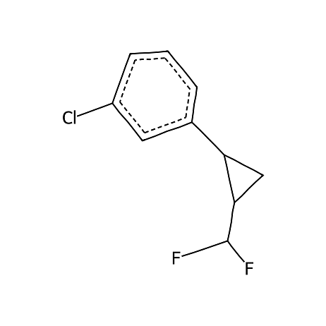 FC(F)C1CC1c1cccc(Cl)c1